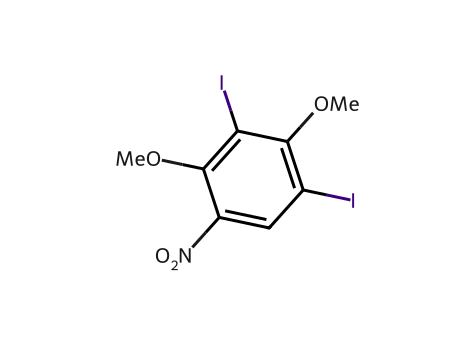 COc1c(I)cc([N+](=O)[O-])c(OC)c1I